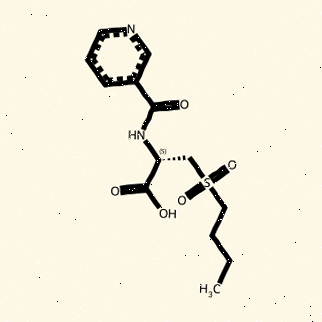 CCCCS(=O)(=O)C[C@@H](NC(=O)c1cccnc1)C(=O)O